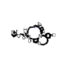 CO[C@H]1/C=C/CCCS(=O)(NC(=O)COc2ccnn2C)=NC(=O)c2ccc3c(c2)N(Cc2ccc(Cl)cc2CCCCO3)C[C@@H]2CC[C@H]21